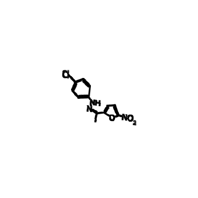 CC(=NNc1ccc(Cl)cc1)c1ccc([N+](=O)[O-])o1